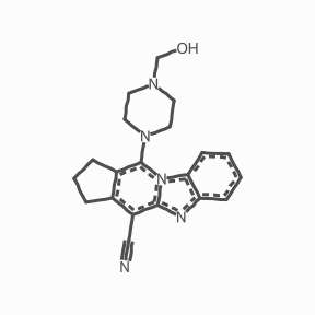 N#Cc1c2c(c(N3CCN(CO)CC3)n3c1nc1ccccc13)CCC2